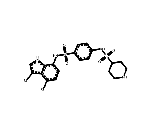 O=S(=O)(Nc1ccc(Cl)c2c(Cl)c[nH]c12)c1ccc(NS(=O)(=O)C2CCNCC2)cc1